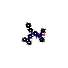 c1ccc(-c2ccc(N(c3ccc(-n4c5ccccc5c5ccccc54)cc3)c3ccc4c(c3)nc3n(-c5ccccc5)c5oc6ccccc6c5n43)cc2)cc1